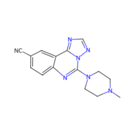 CN1CCN(c2nc3ccc(C#N)cc3c3ncnn23)CC1